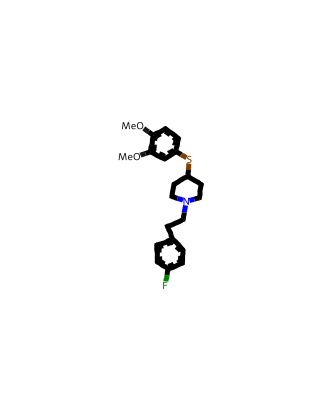 COc1ccc(SC2CCN(CCc3ccc(F)cc3)CC2)cc1OC